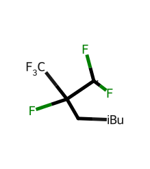 [CH2]CC(C)CC(F)([C](F)F)C(F)(F)F